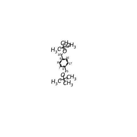 CC(C)(C)OCc1ccc(COC(C)(C)C)cc1